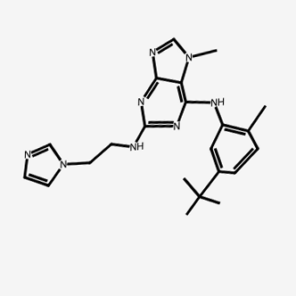 Cc1ccc(C(C)(C)C)cc1Nc1nc(NCCn2ccnc2)nc2ncn(C)c12